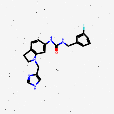 O=C(NCc1cccc(F)c1)Nc1ccc2c(c1)N(Cc1c[nH]cn1)CC2